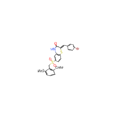 COc1cccc(OC)c1CS(=O)(=O)c1ccc2c(c1)NC(=O)/C(=C/c1ccc(Br)cc1)S2